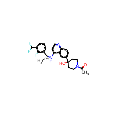 CC(=O)N1CCC(O)(c2ccc3nccc(N[C@H](C)c4cccc(C(F)F)c4F)c3c2)CC1